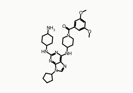 COc1cc(OC)cc(C(=O)N2CCC(Nc3nc(NC4CCC(N)CC4)nc4c3ncn4C3CCCC3)CC2)c1